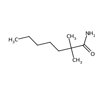 CCCCCC(C)(C)C(N)=O